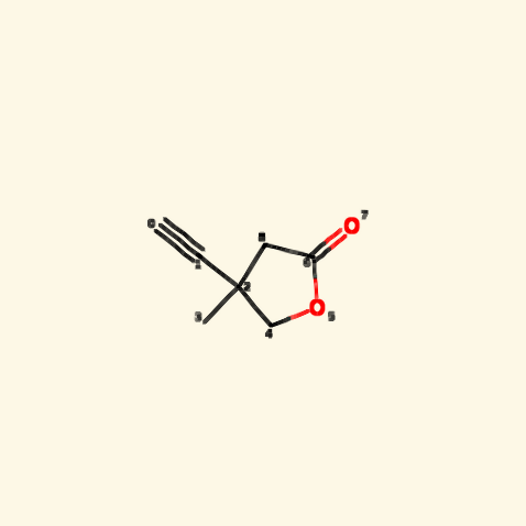 C#CC1(C)COC(=O)C1